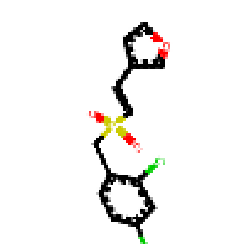 O=S(=O)(/C=C/c1ccoc1)Cc1ccc(Cl)cc1Cl